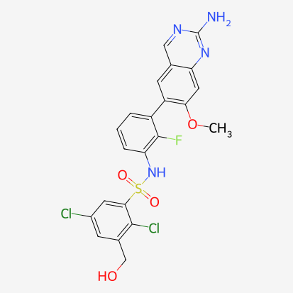 COc1cc2nc(N)ncc2cc1-c1cccc(NS(=O)(=O)c2cc(Cl)cc(CO)c2Cl)c1F